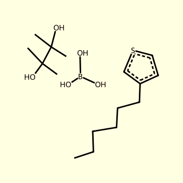 CC(C)(O)C(C)(C)O.CCCCCCc1ccsc1.OB(O)O